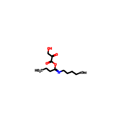 CCCCCCCCCCCCCCN=C(CCC(=O)O)OC(=O)C(=O)CO